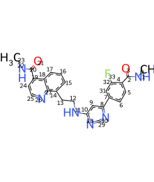 CNC(=O)c1ccc(-c2cc(NCCc3cccc4c(C(=O)NC)ccnc34)ncn2)cc1F